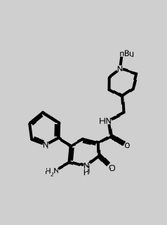 CCCCN1CCC(CNC(=O)c2cc(-c3ccccn3)c(N)[nH]c2=O)CC1